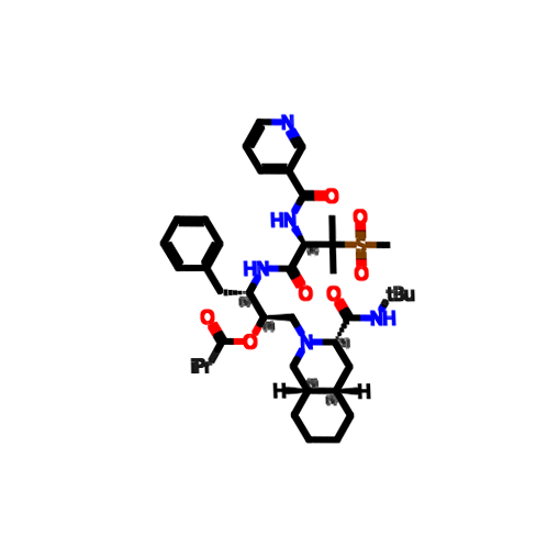 CC(C)C(=O)O[C@H](CN1C[C@H]2CCCC[C@H]2C[C@H]1C(=O)NC(C)(C)C)[C@H](Cc1ccccc1)NC(=O)[C@@H](NC(=O)c1cccnc1)C(C)(C)S(C)(=O)=O